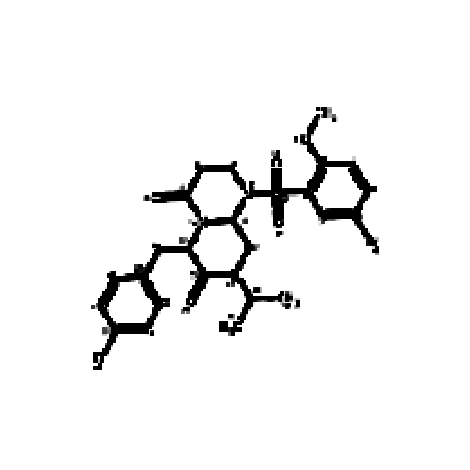 COc1ccc(Br)cc1S(=O)(=O)N1CCC(=O)N2C(Cc3ccc(Cl)cc3)C(=O)N(C(C)C)CC21